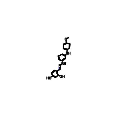 COc1ccc(Nc2cccc(N/N=C/c3ccc(O)cc3O)c2)cc1